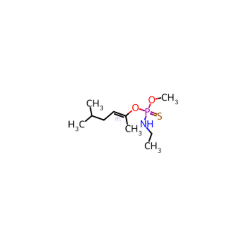 CCNP(=S)(OC)O/C(C)=C/CC(C)C